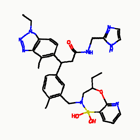 CCC1CN(Cc2cc(C(CC(=O)NCc3ncc[nH]3)c3ccc4c(nnn4CC)c3C)ccc2C)S(O)(O)c2cccnc2O1